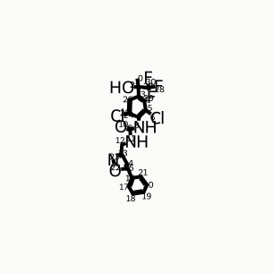 CC(O)(c1cc(Cl)c(NC(=O)NCc2cc(-c3ccccc3)on2)c(Cl)c1)C(F)(F)F